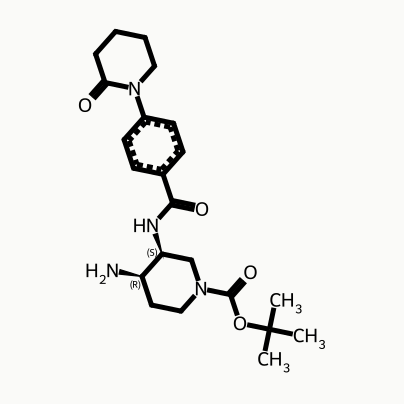 CC(C)(C)OC(=O)N1CC[C@@H](N)[C@@H](NC(=O)c2ccc(N3CCCCC3=O)cc2)C1